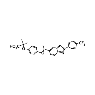 CC(Oc1ccc(OC(C)(C)C(=O)O)cc1)c1ccc2nn(-c3ccc(C(F)(F)F)cc3)cc2c1